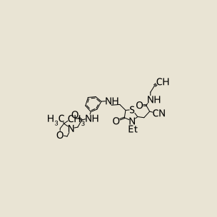 C#CCNC(=O)C(C#N)CC1SC(CCNc2cccc(NC(=O)CN3COCC3(C)C)c2)C(=O)N1CC